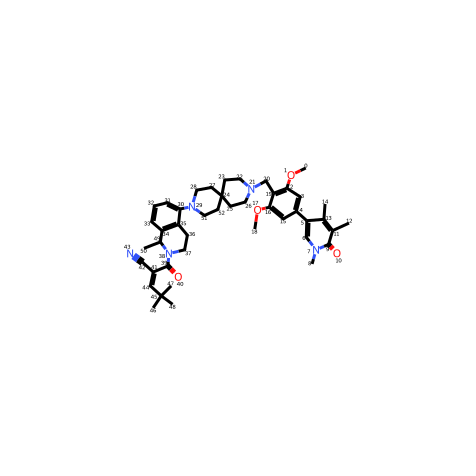 COc1cc(-c2cn(C)c(=O)c(C)c2C)cc(OC)c1CN1CCC2(CC1)CCN(c1cccc3c1CCN(C(=O)/C(C#N)=C\C(C)(C)C)C3C)CC2